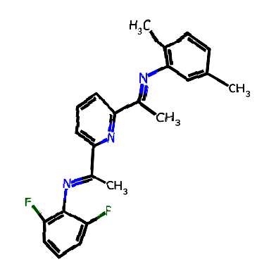 C/C(=N\c1cc(C)ccc1C)c1cccc(/C(C)=N/c2c(F)cccc2F)n1